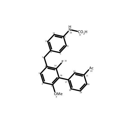 COc1ccc(Cc2ccc(NC(=O)O)cc2)c(F)c1-c1cccc(C(C)=O)c1